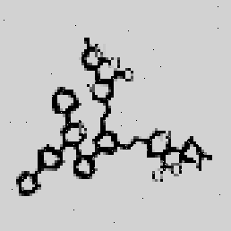 Cc1ccc2c(n1)oc(=O)c1cc(CCc3cc(CCc4cnc5c(c4)c(=O)oc4nc(C)ccc45)cc(-c4ccccc4-c4cnc(-c5ccccc5)cc4-c4ccc(-c5ccccc5)cc4)c3)cnc12